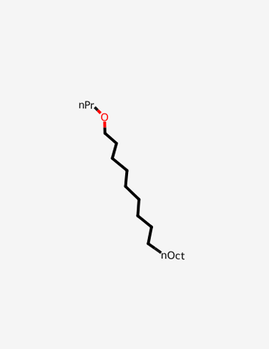 CCCCCCCCCCCCCCCCCOCCC